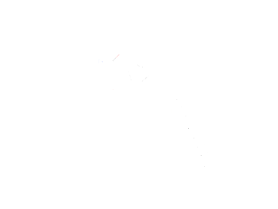 CCCCCCNC(=O)Oc1ccc(CCCC(F)(F)C(F)(F)C(F)(F)C(F)(F)C(F)(F)C(F)(F)C(F)(F)C(F)(F)F)cc1CO